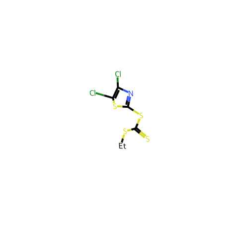 CCSC(=S)Sc1nc(Cl)c(Cl)s1